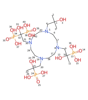 CC(C)(O)CN1CCN(CC(C)(O)P(=O)(O)O)CCN(CC(C)(O)P(=O)(O)O)CCN(CC(O)(P(=O)(O)O)P(=O)(O)O)CC1